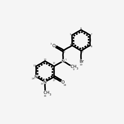 CN(C(=O)c1ccccc1Br)c1ccnn(C)c1=O